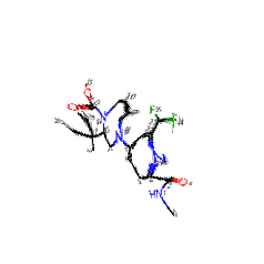 CNC(=O)c1ccc(N2CCN(C(=O)OC)C(C(C)(C)C)C2)c(C(F)F)n1